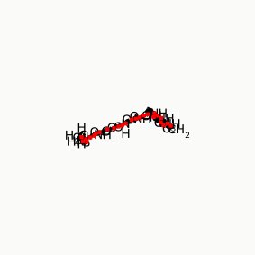 C=CC(=O)Nc1cccc(Nc2nc(Nc3cccc(OCCCNC(=O)CCCC(=O)NCCCOCCOCCOCCCNC(=O)CCCC[C@@H]4SC[C@@H]5NC(=O)N[C@@]54N=C)c3)ncc2C)c1